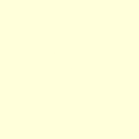 CCCCCC=CCC=CCC=CCC=CCCCCC(F)(F)F